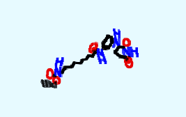 CC(C)(C)OC(=O)NCCCCCCCCCC(=O)Nc1cccc(NC2CCC(=O)NC2=O)c1